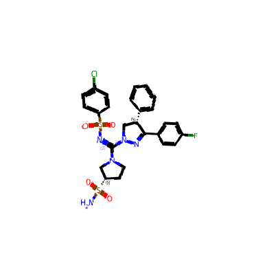 NS(=O)(=O)[C@H]1CCN(/C(=N/S(=O)(=O)c2ccc(Cl)cc2)N2C[C@H](c3ccccc3)C(c3ccc(F)cc3)=N2)C1